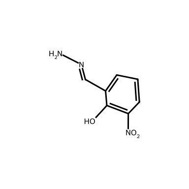 NN=Cc1cccc([N+](=O)[O-])c1O